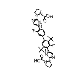 CC(C)(C)c1cc(-c2ccc(-c3cnc([C@@H]4CCCN4C(=O)O)[nH]3)c(F)c2)c(C(C)(C)C)c(F)c1-c1cnc([C@@H]2CCCN2C(=O)O)[nH]1